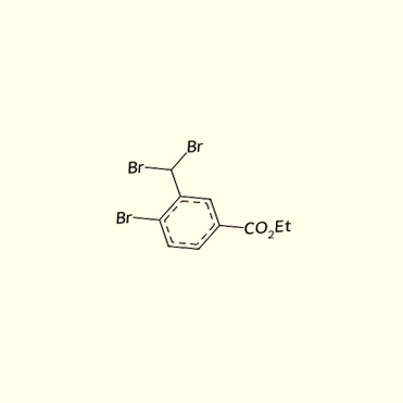 CCOC(=O)c1ccc(Br)c(C(Br)Br)c1